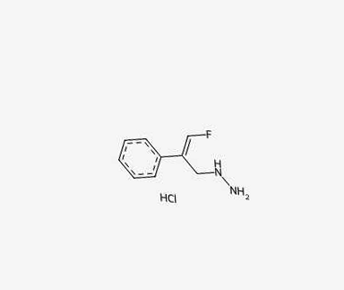 Cl.NNCC(=CF)c1ccccc1